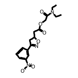 CCN(CC)C(=O)COC(=O)CC1CC(c2cccc([N+](=O)[O-])c2)=NO1